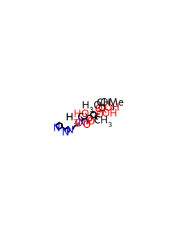 CO[C@@H]1[C@H](O)[C@@H](O)[C@H](Oc2ccc3c(O)c(C(C)=NOCCCn4cnc(-c5cccnc5)c4)c(=O)oc3c2C)OC1(C)C